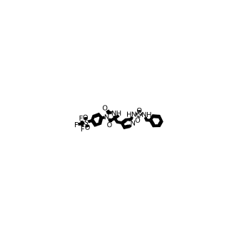 CC1(Cc2ccnc(NS(=O)(=O)NCc3ccccc3)c2)NC(=O)N(c2ccc(S(=O)(=O)C(F)(F)F)cc2)C1=O